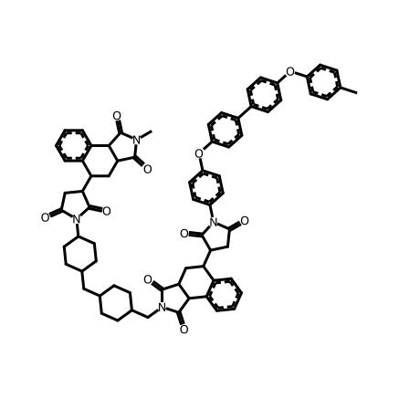 Cc1ccc(Oc2ccc(-c3ccc(Oc4ccc(N5C(=O)CC(C6CC7C(=O)N(CC8CCC(CC9CCC(N%10C(=O)CC(C%11CC%12C(=O)N(C)C(=O)C%12c%12ccccc%12%11)C%10=O)CC9)CC8)C(=O)C7c7ccccc76)C5=O)cc4)cc3)cc2)cc1